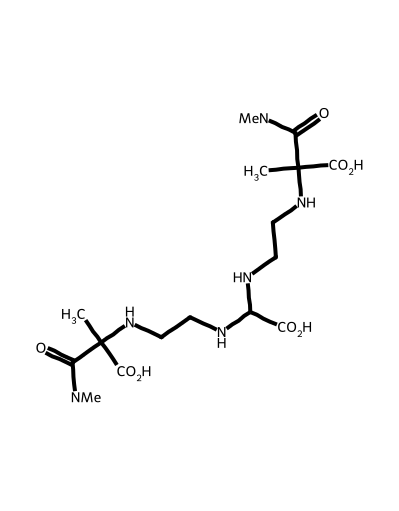 CNC(=O)C(C)(NCCNC(NCCNC(C)(C(=O)O)C(=O)NC)C(=O)O)C(=O)O